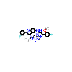 CCOc1cc(F)ccc1-c1cc(Nc2ccc3nc(-c4cccc(F)c4)cc(N(C)C)c3c2)nc(N)n1